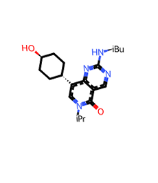 CC[C@H](C)Nc1ncc2c(=O)n(C(C)C)cc([C@H]3CC[C@H](O)CC3)c2n1